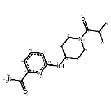 CC(C)C(=O)N1CCC(Nc2cc[c]c(C(N)=O)n2)CC1